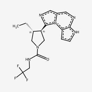 CC[C@H]1CN(C(=O)NCC(F)(F)F)C[C@@H]1c1ncc2cnc3[nH]ccc3n12